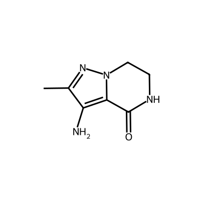 Cc1nn2c(c1N)C(=O)NCC2